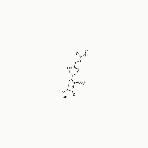 CCNC(=O)OCC1=NCC(C2=C(C(=O)O)N3C(=O)C(C(C)O)C3C2)CN1